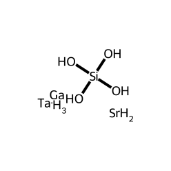 O[Si](O)(O)O.[GaH3].[SrH2].[Ta]